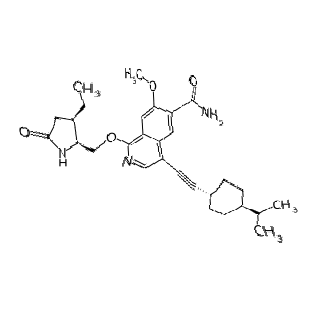 CC[C@@H]1CC(=O)N[C@@H]1COc1ncc(C#C[C@H]2CC[C@H](C(C)C)CC2)c2cc(C(N)=O)c(OC)cc12